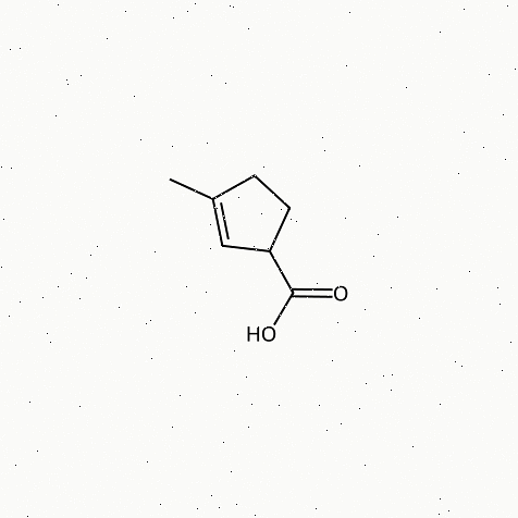 CC1=CC(C(=O)O)CC1